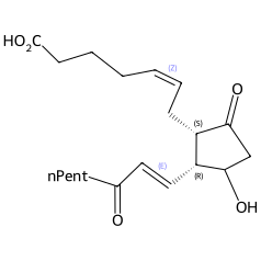 CCCCCC(=O)/C=C/[C@H]1C(O)CC(=O)[C@H]1C/C=C\CCCC(=O)O